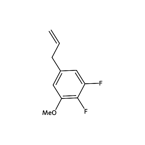 C=CCc1cc(F)c(F)c(OC)c1